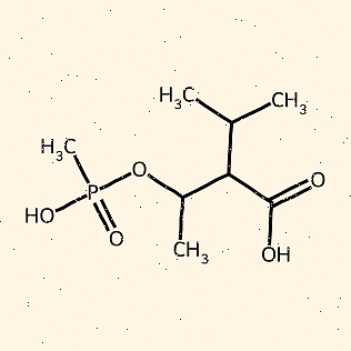 CC(C)C(C(=O)O)C(C)OP(C)(=O)O